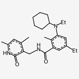 CCc1cc(C(=O)NCc2c(C)cc(C)[nH]c2=O)c(C)c(N(CC)C2CCCCC2)c1